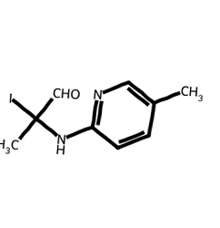 Cc1ccc(NC(C)(I)C=O)nc1